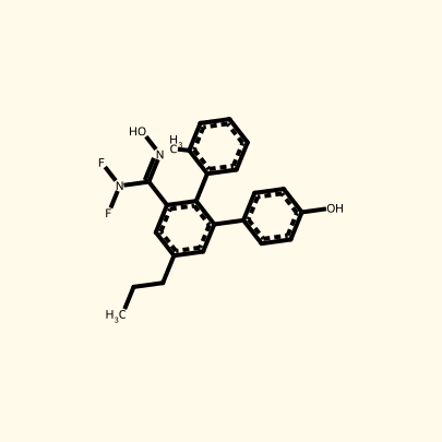 CCCc1cc(C(=NO)N(F)F)c(-c2ccccc2C)c(-c2ccc(O)cc2)c1